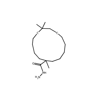 CC1(C)CCCCCCCC(C)(C(=O)NN)CCCCC1